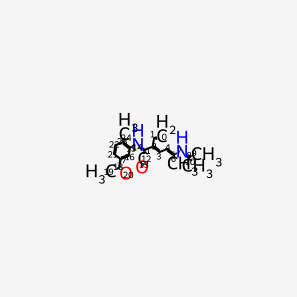 C=C/C(=C\C=C(/C)NC(C)C)C(=C=O)Nc1cc(C(C)=O)ccc1C